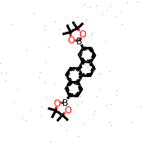 CC1(C)OB(c2ccc3c(ccc4c5cc(B6OC(C)(C)C(C)(C)O6)ccc5ccc34)c2)OC1(C)C